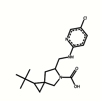 CC(C)(C)C1CC12CC(CNc1ccc(Cl)cn1)N(C(=O)O)C2